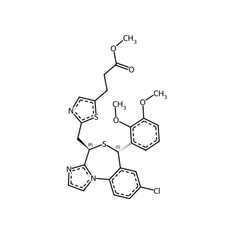 COC(=O)CCc1cnc(C[C@H]2S[C@H](c3cccc(OC)c3OC)c3cc(Cl)ccc3-n3ccnc32)s1